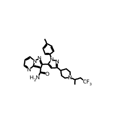 Cc1ccc(-n2nc(C3CCN(C(C)CC(F)(F)F)CC3)cc2-c2nn3cccnc3c2C(N)=O)cc1